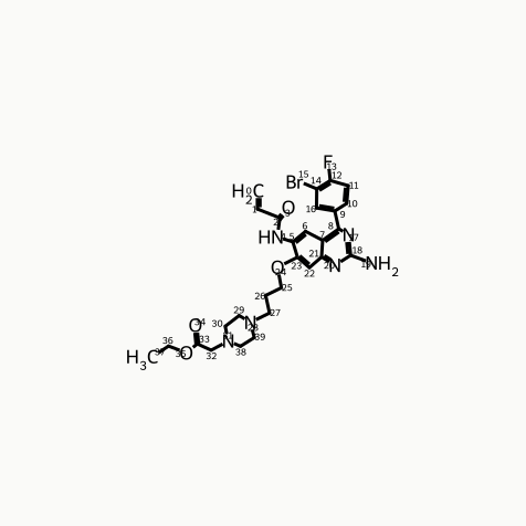 C=CC(=O)Nc1cc2c(-c3ccc(F)c(Br)c3)nc(N)nc2cc1OCCCN1CCN(CC(=O)OCC)CC1